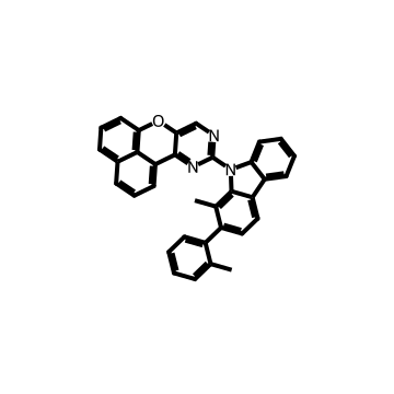 Cc1ccccc1-c1ccc2c3ccccc3n(-c3ncc4c(n3)-c3cccc5cccc(c35)O4)c2c1C